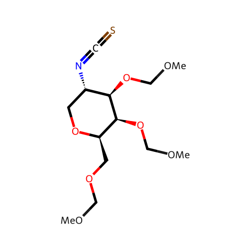 COCOC[C@H]1OC[C@H](N=C=S)[C@@H](OCOC)[C@H]1OCOC